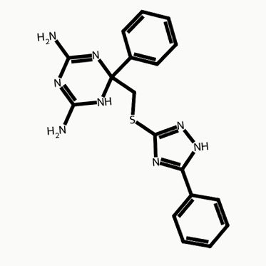 NC1=NC(CSc2n[nH]c(-c3ccccc3)n2)(c2ccccc2)NC(N)=N1